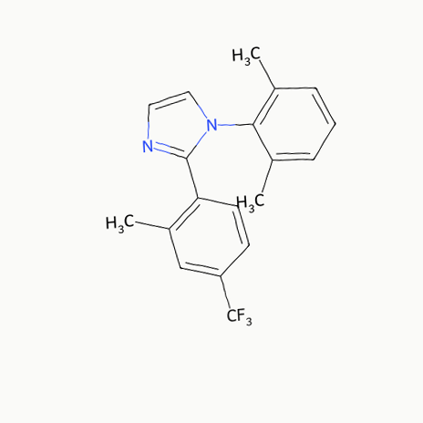 Cc1cc(C(F)(F)F)ccc1-c1nccn1-c1c(C)cccc1C